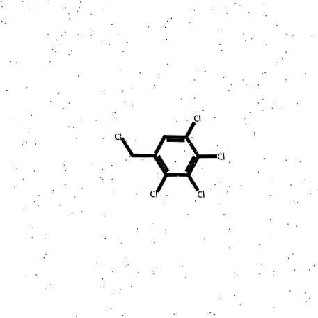 Cl[C]c1cc(Cl)c(Cl)c(Cl)c1Cl